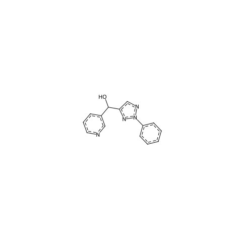 OC(c1cccnc1)c1cnn(-c2ccccc2)n1